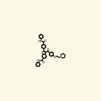 O=C(Nc1ccccc1)c1ccc(-c2sc3cc(C(=O)Nc4ccccc4)ccc3c2C(=O)c2ccc(OCCN3CCCCC3)cc2)cc1